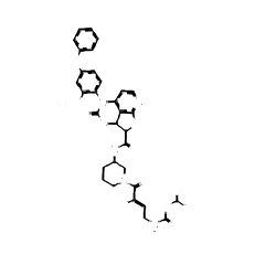 CCCC(OC(=O)N(C)CC=C(F)C(=O)N1CCCC(NC(=O)C2Sc3nccc4c3C2NC(=O)N4c2ccc(Oc3ccccc3)cc2C)C1)C(C)(C)C